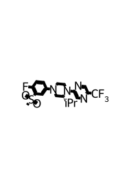 CC(C)[C@@H]1CN(c2ccc(F)c(S(C)(=O)=O)c2)CCN1c1cnc(C(F)(F)F)cn1